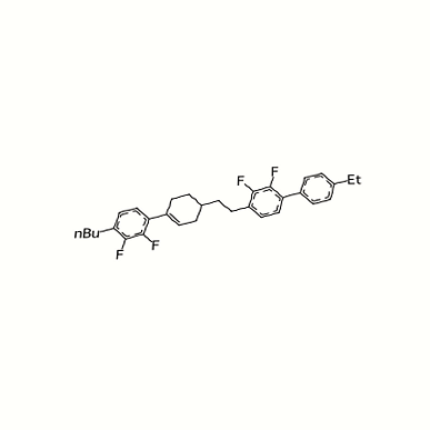 CCCCc1ccc(C2=CCC(CCc3ccc(-c4ccc(CC)cc4)c(F)c3F)CC2)c(F)c1F